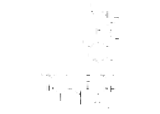 CN(Nc1ccc2c(F)c(N3CC(=O)NS3(=O)=O)c(O)cc2c1)C(=O)NC1CCC(=O)NC1=O